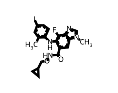 Cc1cc(I)ccc1Nc1c(C(=O)NOCC2CC2)cc2c(ncn2C)c1F